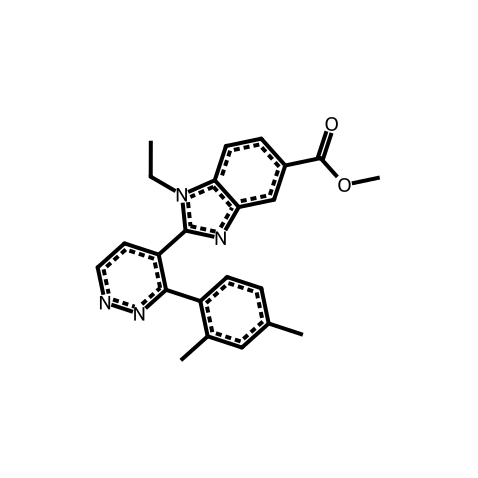 CCn1c(-c2ccnnc2-c2ccc(C)cc2C)nc2cc(C(=O)OC)ccc21